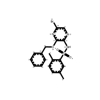 Cc1ccc(C)c(S(=O)(=O)Nc2ncc(Br)nc2OCc2ccccc2)c1